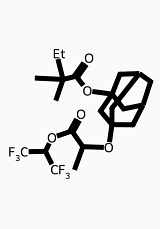 CCC(C)(C)C(=O)OC12CC3CC(C1)CC(OC(C)C(=O)OC(C(F)(F)F)C(F)(F)F)(C3)C2